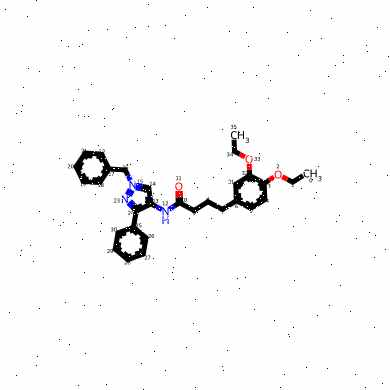 CCOc1ccc(CCCC(=O)Nc2cn(Cc3ccccc3)nc2-c2ccccc2)cc1OCC